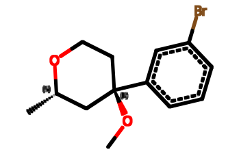 CO[C@]1(c2cccc(Br)c2)CCO[C@@H](C)C1